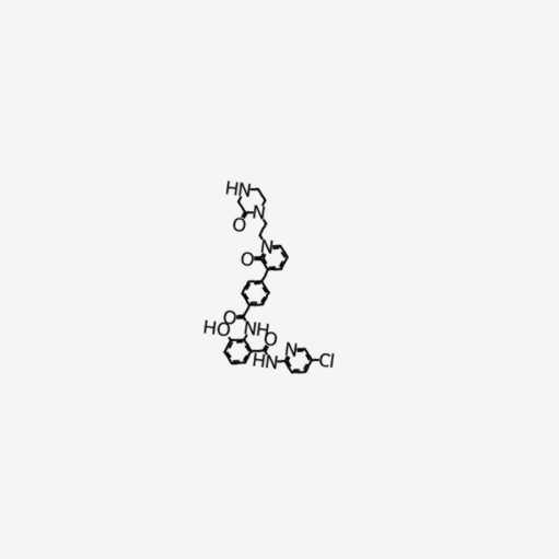 O=C(Nc1c(O)cccc1C(=O)Nc1ccc(Cl)cn1)c1ccc(-c2cccn(CCN3CCNCC3=O)c2=O)cc1